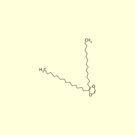 CCCCCCCCCCCCCCC1=C(CCCCCCCCCCCCCC)OC=CO1